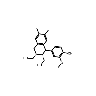 COc1cc(C2c3cc(C)c(C)cc3C[C@H](CO)[C@H]2CO)ccc1O